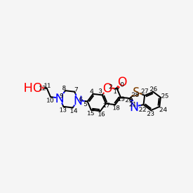 O=c1oc2cc(N3CCN(CCO)CC3)ccc2cc1-c1nc2ccccc2s1